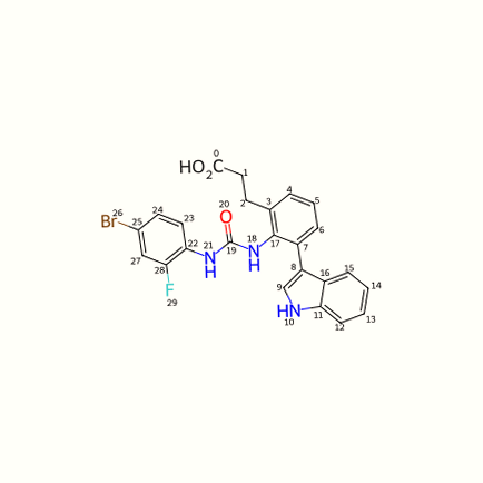 O=C(O)CCc1cccc(-c2c[nH]c3ccccc23)c1NC(=O)Nc1ccc(Br)cc1F